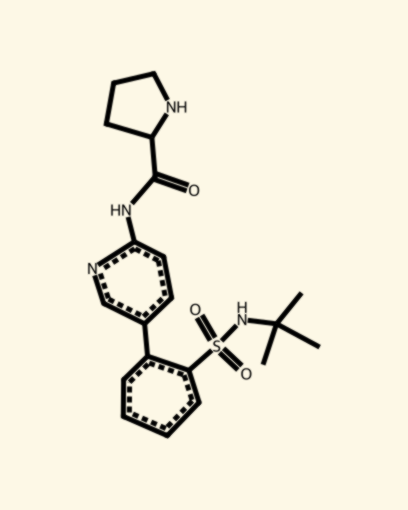 CC(C)(C)NS(=O)(=O)c1ccccc1-c1ccc(NC(=O)C2CCCN2)nc1